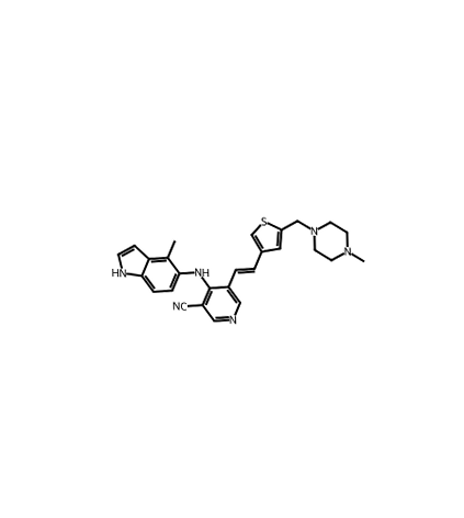 Cc1c(Nc2c(C#N)cncc2/C=C/c2csc(CN3CCN(C)CC3)c2)ccc2[nH]ccc12